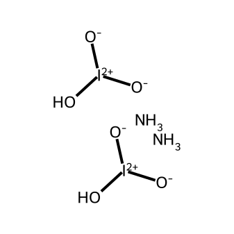 N.N.[O-][I+2]([O-])O.[O-][I+2]([O-])O